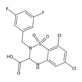 O=C(O)C1Nc2cc(Cl)cc(Cl)c2S(=O)(=O)N1Cc1cc(F)cc(F)c1